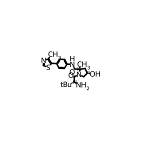 Cc1ncsc1-c1ccc(NC(=O)[C@]2(C)C[C@@H](O)CN2C(=O)[C@@H](N)C(C)(C)C)cc1